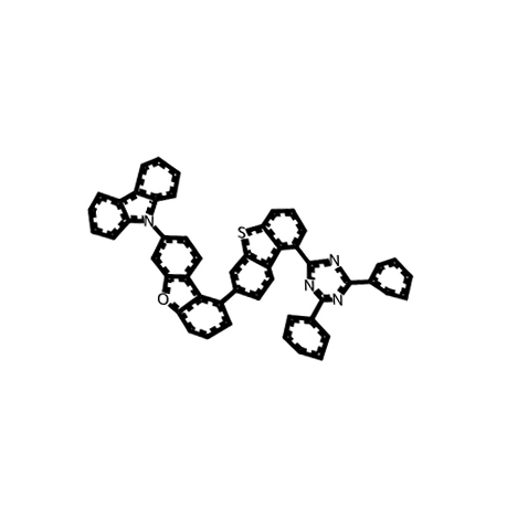 c1ccc(-c2nc(-c3ccccc3)nc(-c3cccc4sc5cc(-c6cccc7oc8cc(-n9c%10ccccc%10c%10ccccc%109)ccc8c67)ccc5c34)n2)cc1